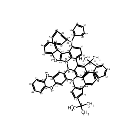 CC(C)(C)c1ccc(N2c3cc4c(cc3B3c5c2cc2c(c5-c5ccc(N(c6ccccc6)c6ccccc6)c6c7c8ccccc8oc7n3c56)C(C)(C)c3ccccc3-2)Oc2ccccc2O4)c(-c2ccccc2)c1